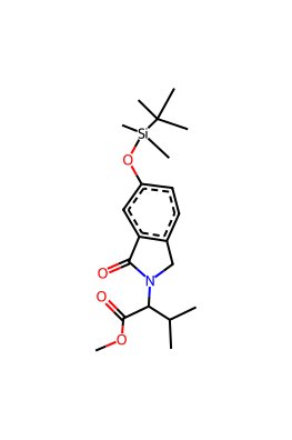 COC(=O)C(C(C)C)N1Cc2ccc(O[Si](C)(C)C(C)(C)C)cc2C1=O